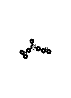 c1ccc(-c2cc(-c3ccc(-n4c5ccccc5c5ccccc54)cc3)nc(-c3ccc(-c4ccc5c(c4)oc4ccccc45)cc3)n2)cc1